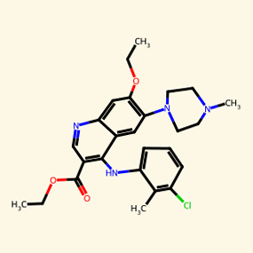 CCOC(=O)c1cnc2cc(OCC)c(N3CCN(C)CC3)cc2c1Nc1cccc(Cl)c1C